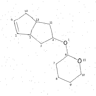 C1=CC2CC(OC3CCCCO3)CC2C1